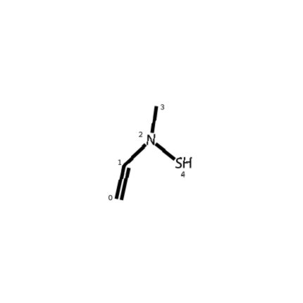 C=CN(C)S